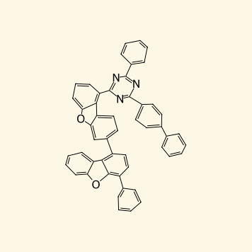 c1ccc(-c2ccc(-c3nc(-c4ccccc4)nc(-c4cccc5oc6cc(-c7ccc(-c8ccccc8)c8oc9ccccc9c78)ccc6c45)n3)cc2)cc1